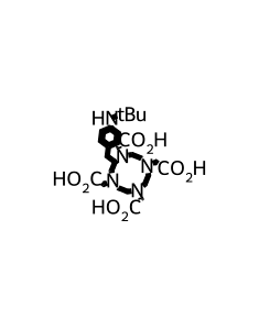 CC(C)(C)Nc1ccc(CC2CN(CC(=O)O)CCN(CC(=O)O)CCN(CC(=O)O)CCN2CC(=O)O)cc1